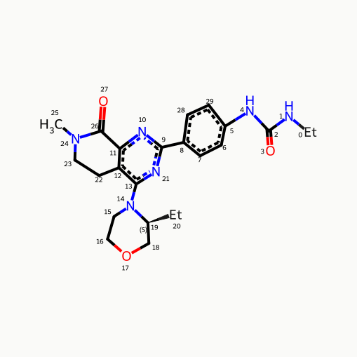 CCNC(=O)Nc1ccc(-c2nc3c(c(N4CCOC[C@@H]4CC)n2)CCN(C)C3=O)cc1